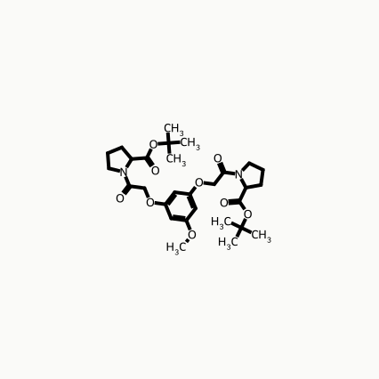 COc1cc(OCC(=O)N2CCCC2C(=O)OC(C)(C)C)cc(OCC(=O)N2CCCC2C(=O)OC(C)(C)C)c1